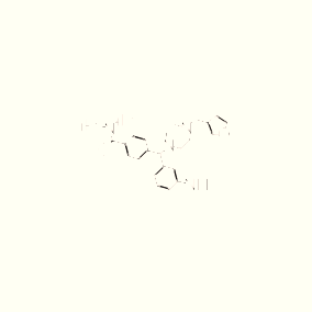 CC(C)N(C(=O)c1ccc(C(c2cccc(N)c2)N2CCN(Cc3ccoc3)CC2)cc1)C(C)C